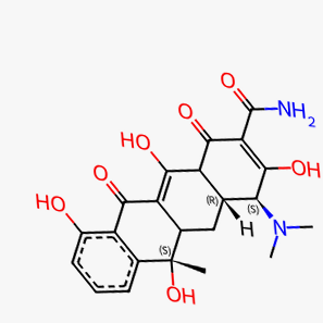 CN(C)[C@@H]1C(O)=C(C(N)=O)C(=O)C2C(O)=C3C(=O)c4c(O)cccc4[C@@](C)(O)C3C[C@H]21